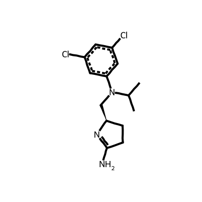 CC(C)N(C[C@H]1CCC(N)=N1)c1cc(Cl)cc(Cl)c1